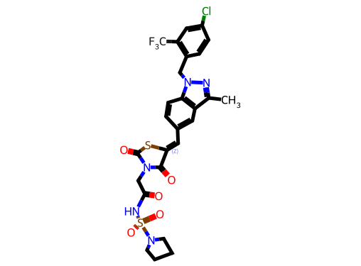 Cc1nn(Cc2ccc(Cl)cc2C(F)(F)F)c2ccc(/C=C3\SC(=O)N(CC(=O)NS(=O)(=O)N4CCCC4)C3=O)cc12